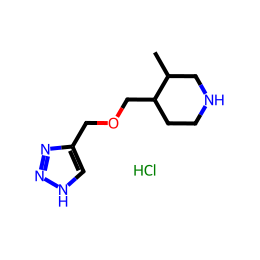 CC1CNCCC1COCc1c[nH]nn1.Cl